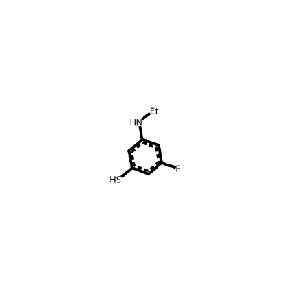 CCNc1cc(F)cc(S)c1